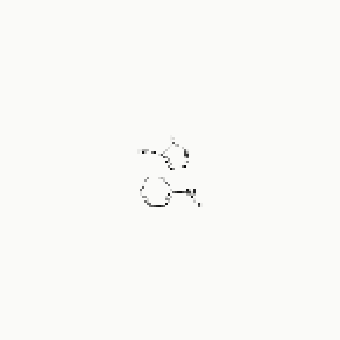 N#Cc1ccc[nH]1.ONc1ccccc1